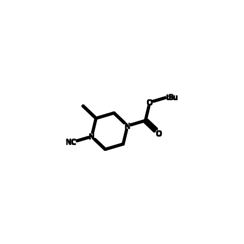 CC1CN(C(=O)OC(C)(C)C)CCN1C#N